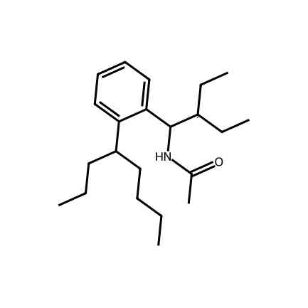 CCCCC(CCC)c1ccccc1C(NC(C)=O)[C](CC)CC